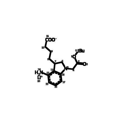 CC(C)(C)OC(=O)CN1CC(CCCC(=O)[O-])c2c(N)cccc21.[Li+]